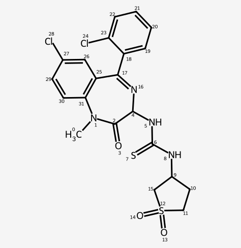 CN1C(=O)C(NC(=S)NC2CCS(=O)(=O)C2)N=C(c2ccccc2Cl)c2cc(Cl)ccc21